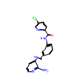 Nc1ncccc1NCc1cccc(NC(=O)c2ccc(Cl)cn2)c1